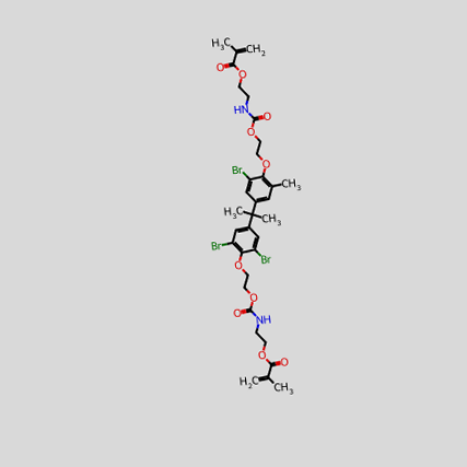 C=C(C)C(=O)OCCNC(=O)OCCOc1c(C)cc(C(C)(C)c2cc(Br)c(OCCOC(=O)NCCOC(=O)C(=C)C)c(Br)c2)cc1Br